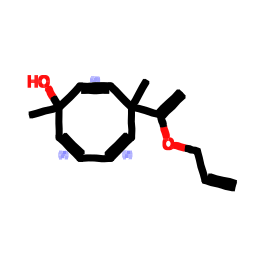 C=CCOC(=C)C1(C)/C=C\C=C/C(C)(O)/C=C\1